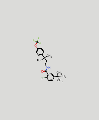 CC(C)(C)c1ccc(Cl)c(C(=O)NCCC(C)(C)c2ccc(OC(F)(F)F)cc2)c1